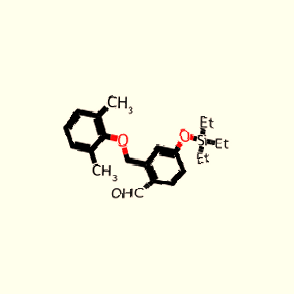 CC[Si](CC)(CC)Oc1ccc(C=O)c(COc2c(C)cccc2C)c1